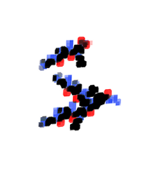 CC(C)CCn1cc(N(C(=O)c2cc3cc(C(N)=O)ccc3[nH]2)c2cc(C(=O)Nc3cc(C(=O)NCCCN(C)C)n(C)c3)n(CCC(C)C)c2)cc1C(=O)Nc1cc(C(=O)NCCCN(C)C)n(C)c1.CC(C)CCn1cc([N+](=O)[O-])cc1C(=O)Nc1cc(C(=O)NCCCN(C)C)n(C)c1